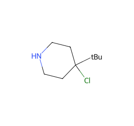 CC(C)(C)C1(Cl)CCNCC1